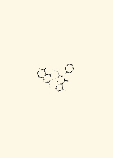 C[C@H](Nc1nc(N)nc2cc[nH]c(=O)c12)c1nn2ccc(Cl)c2c(=O)n1-c1ccccc1